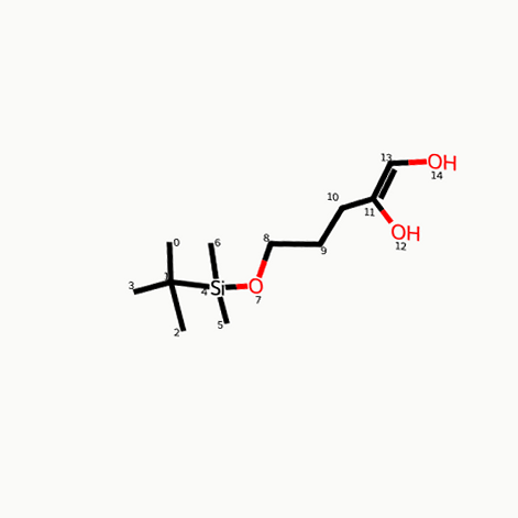 CC(C)(C)[Si](C)(C)OCCC/C(O)=C/O